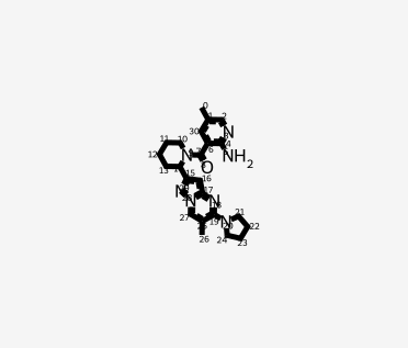 Cc1cnc(N)c(C(=O)N2CCCCC2c2cc3nc(N4CCCC4)c(C)cn3n2)c1